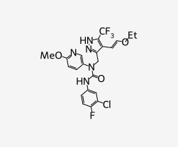 CCOC=Cc1c(CN(C(=O)Nc2ccc(F)c(Cl)c2)c2ccc(OC)nc2)n[nH]c1C(F)(F)F